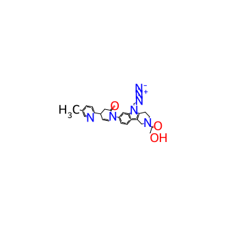 Cc1ccc(C2C=CN(c3ccc4c5c(n(CN=[N+]=[N-])c4c3)CCN(C(=O)CO)C5)C(=O)C2)nc1